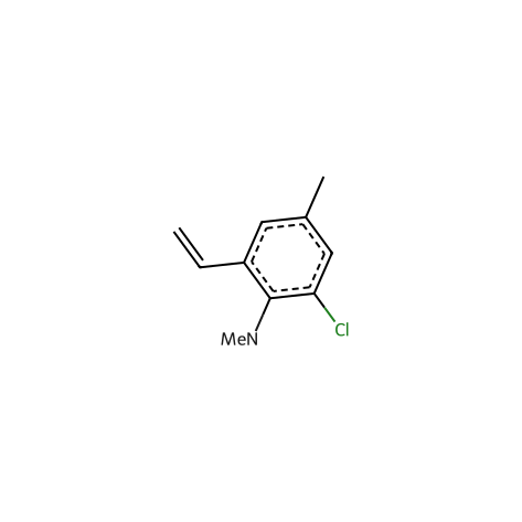 C=Cc1cc(C)cc(Cl)c1NC